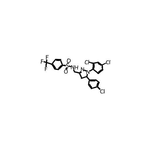 O=S(=O)(NCC1=NN(c2ccc(Cl)cc2Cl)C(c2ccc(Cl)cc2)C1)c1ccc(C(F)(F)F)cc1